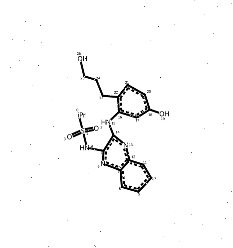 CC(C)S(=O)(=O)Nc1nc2ccccc2nc1Nc1cc(O)ccc1CCCO